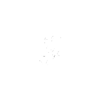 CC(Cl)OC(=O)N(C)CCO[C@H](c1ccccc1)c1ccnn1C